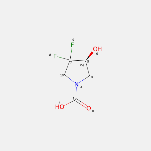 O=C(O)N1C[C@H](O)C(F)(F)C1